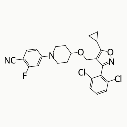 N#Cc1ccc(N2CCC(OCc3c(-c4c(Cl)cccc4Cl)noc3C3CC3)CC2)cc1F